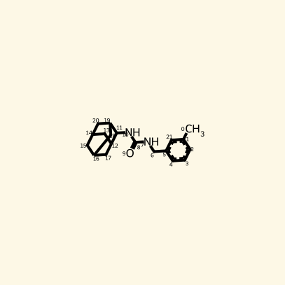 Cc1cccc(CNC(=O)NC2C3CC4CC(C3)CC2C4)c1